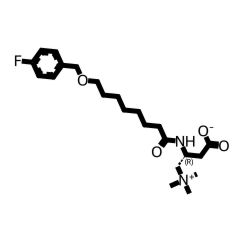 C[N+](C)(C)C[C@@H](CC(=O)[O-])NC(=O)CCCCCCCOCc1ccc(F)cc1